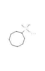 CC(C)(C)[Si](C)(C)[C]1CCCCCCC1